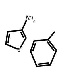 Cc1ccccc1.Nc1ccsc1